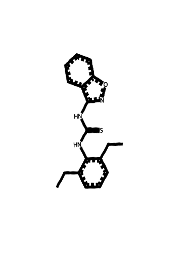 CCc1cccc(CC)c1NC(=S)Nc1noc2ccccc12